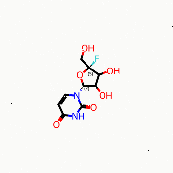 O=c1ccn([C@@H]2O[C@](F)(CO)C(O)C2O)c(=O)[nH]1